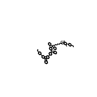 C=Cc1ccc(-c2ccc3c(c2)c2cc(-c4ccc(N(c5ccccc5)c5ccc6c(c5)C(CCCCCCCCOc5cc(C)c(-c7ccc(C=C)cc7)cc5C)(c5ccccc5)c5ccccc5-6)cc4)ccc2n3-c2ccccc2)cc1